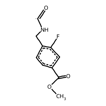 COC(=O)c1ccc(CN[C]=O)c(F)c1